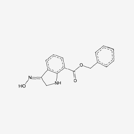 O=C(OCc1ccccc1)c1cccc2c1NC/C2=N\O